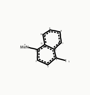 CNc1ccc(I)c2ccccc12